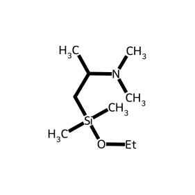 CCO[Si](C)(C)CC(C)N(C)C